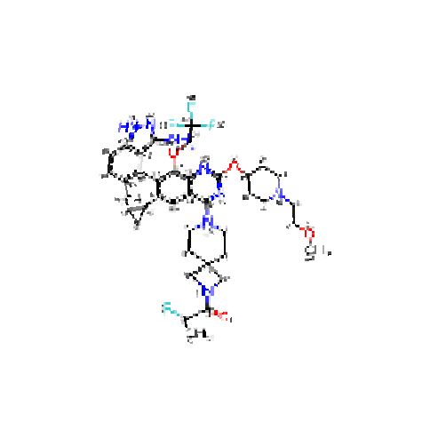 C=C(F)C(=O)N1CC2(CCN(c3nc(OC4CCN(CCOC)CC4)nc4c(OCC(F)(F)F)c(-c5c(C)ccc6[nH]nc(N)c56)c(C5CC5)cc34)CC2)C1